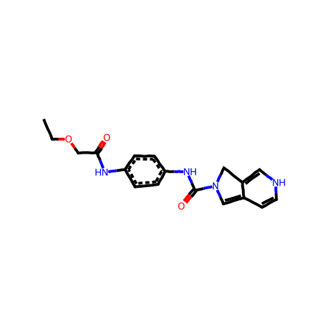 CCOCC(=O)Nc1ccc(NC(=O)N2C=C3C=CNC=C3C2)cc1